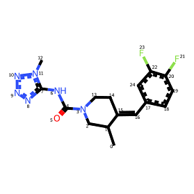 CC1CN(C(=O)Nc2nnnn2C)CCC1=Cc1ccc(F)c(F)c1